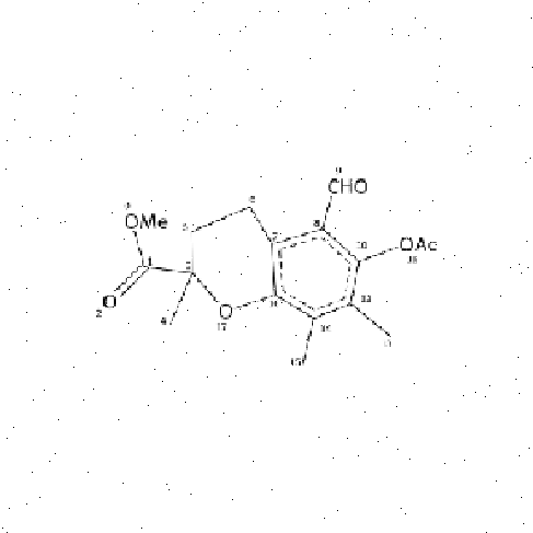 COC(=O)C1(C)CCc2c(C=O)c(OC(C)=O)c(C)c(C)c2O1